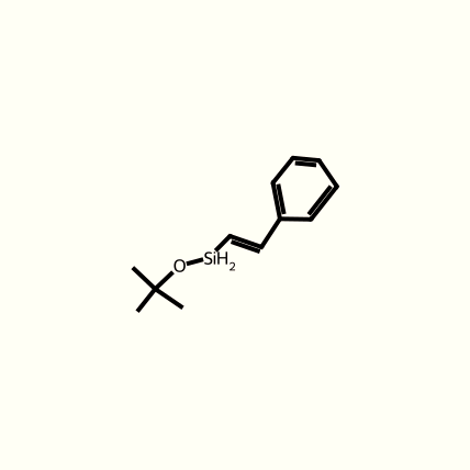 CC(C)(C)O[SiH2]C=Cc1ccccc1